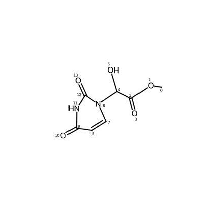 COC(=O)C(O)n1ccc(=O)[nH]c1=O